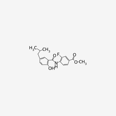 COC(=O)c1ccc(NC(=O)c2cc(CC(C)C)ccc2O)c(F)c1